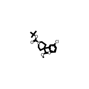 COC(=O)C1(c2cccc(Cl)c2)CCN(C(=O)OC(C)(C)C)CC1